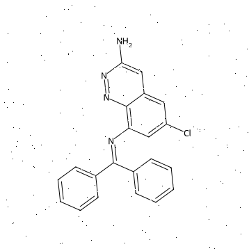 Nc1cc2cc(Cl)cc(N=C(c3ccccc3)c3ccccc3)c2nn1